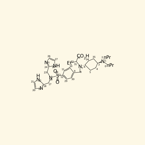 CCCN(CCC)[C@H]1CC[C@H](N(Cc2ccc(S(=O)(=O)N(Cc3ncc[nH]3)Cc3ncc[nH]3)cc2)C(CC)C(=O)O)CC1